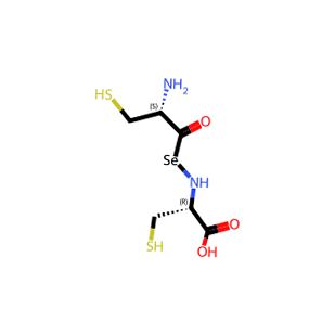 N[C@@H](CS)C(=O)[Se]N[C@@H](CS)C(=O)O